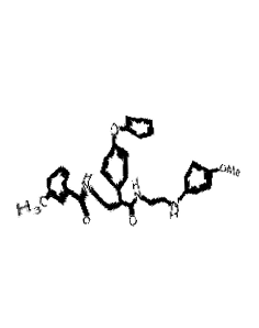 COc1ccc(NCCNC(=O)C(CNC(=O)c2cccc(C)c2)c2ccc(Oc3ccccc3)cc2)cc1